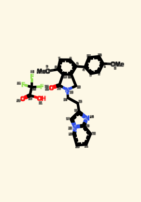 COc1ccc(-c2ccc(OC)c3c2CN(CCc2cn4ccccc4n2)C3=O)cc1.O=C(O)C(F)(F)F